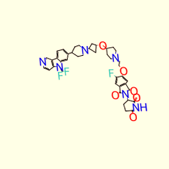 O=C1CCC(N2C(=O)c3cc(F)c(OCCN4CCC(O[C@H]5C[C@@H](N6CCC(c7ccc8c9cnccc9n(C(F)F)c8c7)CC6)C5)CC4)cc3C2=O)C(=O)N1